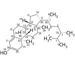 CC(C)[C@@H](C)CC[C@@H](C)[C@H]1CC[C@H]2[C@@H]3CCC4=CC(O)=CC[C@]4(C)[C@H]3CC[C@]12C